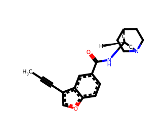 CC#Cc1coc2ccc(C(=O)N[C@@H]3CC4CCN(CC4)C3)cc12